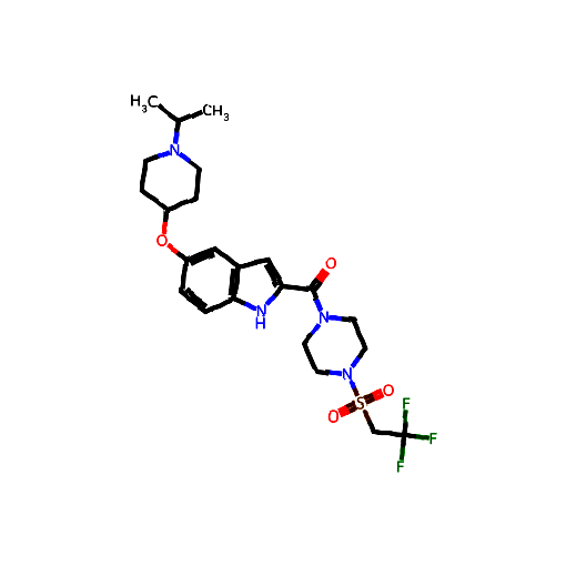 CC(C)N1CCC(Oc2ccc3[nH]c(C(=O)N4CCN(S(=O)(=O)CC(F)(F)F)CC4)cc3c2)CC1